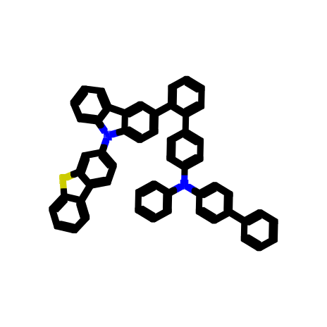 c1ccc(-c2ccc(N(c3ccccc3)c3ccc(-c4ccccc4-c4ccc5c(c4)c4ccccc4n5-c4ccc5c(c4)sc4ccccc45)cc3)cc2)cc1